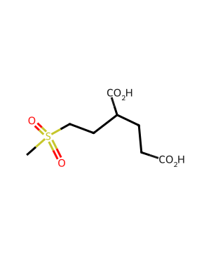 CS(=O)(=O)CCC(CCC(=O)O)C(=O)O